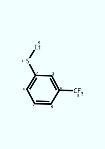 CCSc1[c]c(C(F)(F)F)ccc1